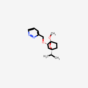 CO[C@@]12CC[C@@](C(C)C)(C[C@@H]1OCc1cccnn1)O2